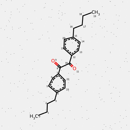 CCCCc1ccc(C(=O)C(=O)c2ccc(CCCC)cc2)cc1